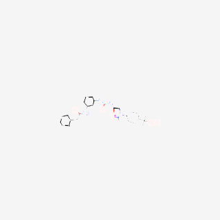 Cc1ccccc1CC(=O)Nc1cc(NC(=O)[N-]c2c[n+](C3CCC(C(C)(C)O)CC3)no2)cc(C(F)(F)F)c1